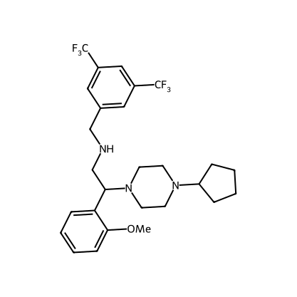 COc1ccccc1C(CNCc1cc(C(F)(F)F)cc(C(F)(F)F)c1)N1CCN(C2CCCC2)CC1